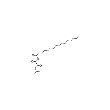 CCCCCCCCCCCCCCCC(=O)OC(=O)C(=O)CC(C)C